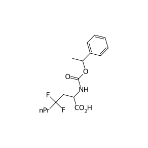 CCCC(F)(F)CC(NC(=O)OC(C)c1ccccc1)C(=O)O